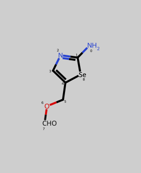 Nc1ncc(COC=O)[se]1